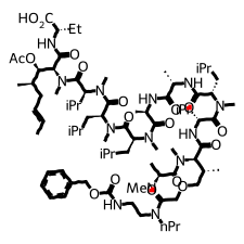 C/C=C/C[C@@H](C)[C@@H](OC(C)=O)[C@@H](C(=O)N[C@@H](CC)C(=O)O)N(C)C(=O)[C@H](C(C)C)N(C)C(=O)[C@H](CC(C)C)N(C)C(=O)[C@H](CC(C)C)N(C)C(=O)[C@@H](C)NC(=O)[C@H](C)NC(=O)[C@H](CC(C)C)N(C)C(=O)[C@H](NC(=O)[C@@H]([C@H](C)COCC(=O)N(CCC)CCNC(=O)OCc1ccccc1)N(C)C(=O)[C@H](C)NC)C(C)C